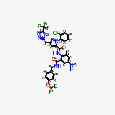 CNc1cc(C)c(NC(=O)c2cc(Cn3nnc(C(F)(F)F)n3)nn2-c2ccccc2Cl)c(C(=O)NCc2ccc(OC(F)F)cc2)c1